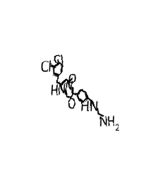 NCCCNCc1ccc(-c2cn3c(=O)cc(Cc4ccc(Cl)c(Cl)c4)[nH]c3cc2=O)cc1